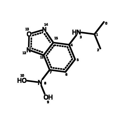 CC(C)Nc1ccc(N(O)O)c2nonc12